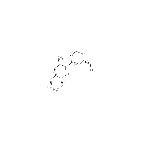 C=CC(=C/C(=C)NC(=C/C=C\C)/N=C\C(C)C)/C(C)=C\C